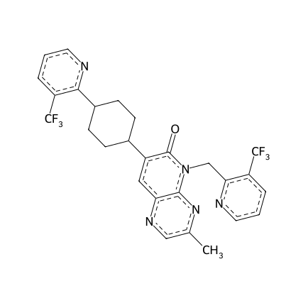 Cc1cnc2cc(C3CCC(c4ncccc4C(F)(F)F)CC3)c(=O)n(Cc3ncccc3C(F)(F)F)c2n1